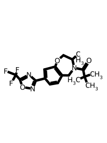 CC1COc2cc(-c3noc(C(F)(F)F)n3)ccc2CN1C(=O)C(C)(C)C